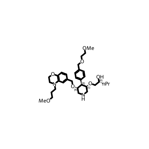 CCC[C@@H](O)CO[C@@H]1CNC[C@H](OCc2ccc3c(c2)N(CCCOC)CCO3)[C@H]1c1ccc(COCCOC)cc1